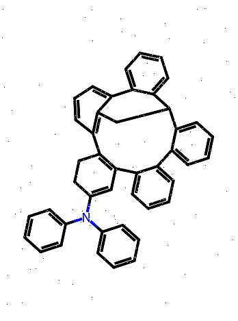 C1=C(N(c2ccccc2)c2ccccc2)CCC2=C1c1ccccc1-c1ccccc1C1Cc3c2cccc3-c2ccccc21